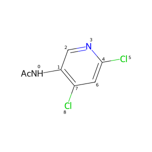 CC(=O)Nc1cnc(Cl)cc1Cl